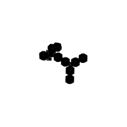 c1ccc(-c2ccc(N(c3ccc(-c4ccccc4)cc3)c3ccc(-c4ccc(-n5c6c7ccccc7ccc6n6c7ccccc7nc56)cc4)cc3)cc2)cc1